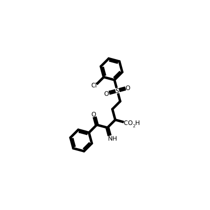 N=C(C(=O)c1ccccc1)C(CCS(=O)(=O)c1ccccc1Cl)C(=O)O